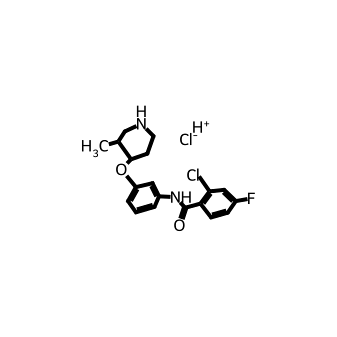 CC1CNCCC1Oc1cccc(NC(=O)c2ccc(F)cc2Cl)c1.[Cl-].[H+]